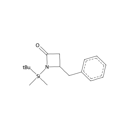 CC(C)(C)[Si](C)(C)N1C(=O)CC1Cc1ccccc1